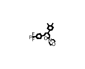 Cc1ccc(C(C=Cc2ccc(C(F)(F)F)cc2)=CC(=O)N2CCOCC2)cc1C